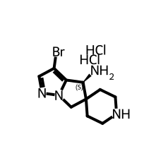 Cl.Cl.N[C@@H]1c2c(Br)cnn2CC12CCNCC2